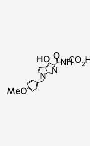 COc1ccc(Cn2ccc3c(O)c(C(=O)NCC(=O)O)ncc32)cc1